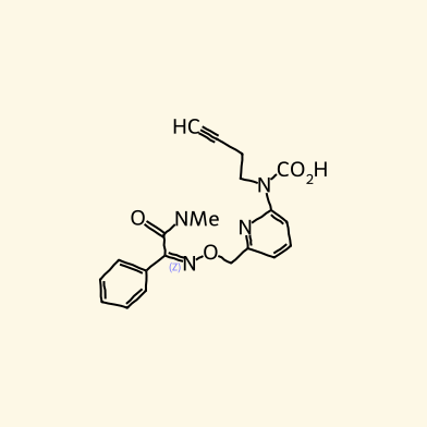 C#CCCN(C(=O)O)c1cccc(CO/N=C(\C(=O)NC)c2ccccc2)n1